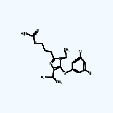 CCn1c(CCCOC(N)=O)nc(C(C)C)c1Sc1cc(Cl)cc(Cl)c1